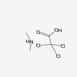 CNC.O=C(O)C(Cl)(Cl)Cl